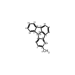 Cc1ccc2c(n1)c1cccc3c4ccccc4n2c31